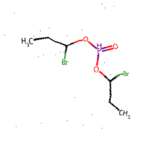 CCC(Br)O[PH](=O)OC(Br)CC